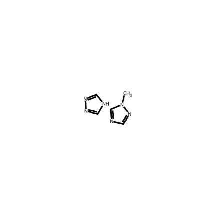 Cn1cncn1.c1nnc[nH]1